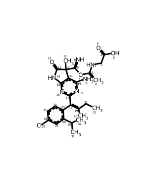 C=C(NCC(=O)O)OC(=N)C1(C)C(=O)Nc2nc(/C(=C(/C)CC)c3ccc(Cl)cc3C(C)C)nc(N)c21